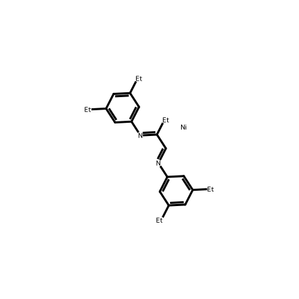 CCC(C=Nc1cc(CC)cc(CC)c1)=Nc1cc(CC)cc(CC)c1.[Ni]